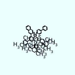 Cc1cc(C)c(-c2cc3c4c(c2)N(c2cc5c(cc2C)C(C)(C)CCC5(C)C)c2c(sc5cc6c(cc25)C(C)(C)CCC6(C)C)B4N(c2ccc(-c4ccccc4)cc2)c2cc4ccccc4cc2-3)c(C)c1